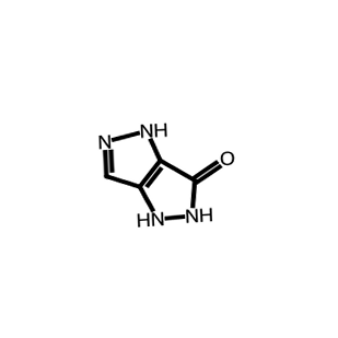 O=c1[nH][nH]c2cn[nH]c12